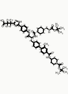 Cc1cc(C(=O)NC2CCN(C(=O)OC(C)(C)C)CC2)ccc1-c1ccc(C[C@H](NC(=O)[C@H]2CC[C@H](CNC(=O)OC(C)(C)C)CC2)C(=O)Nc2ccc(-c3nc(C(F)(F)C(F)(F)C(=O)O)n[nH]3)cc2)cc1